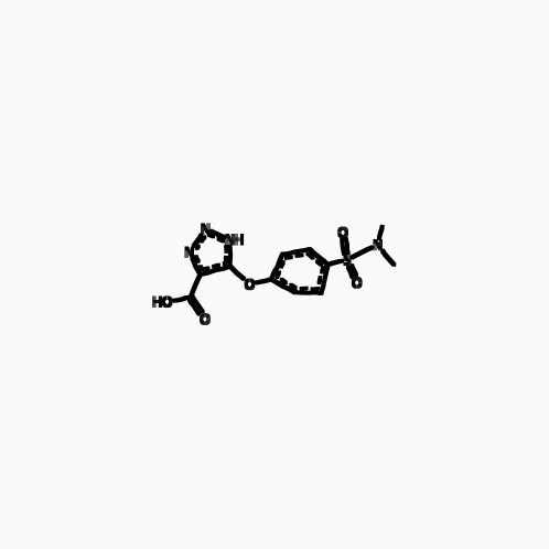 CN(C)S(=O)(=O)c1ccc(Oc2[nH]nnc2C(=O)O)cc1